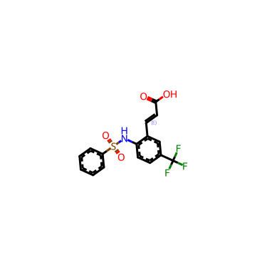 O=C(O)/C=C/c1cc(C(F)(F)F)ccc1NS(=O)(=O)c1ccccc1